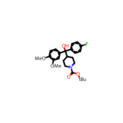 COc1ccc(C(O)(c2ccc(F)cc2)C2CCN(C(=O)OC(C)(C)C)CC2)cc1OC